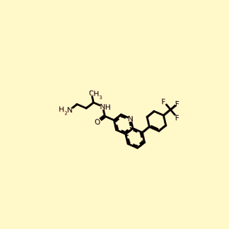 CC(CCN)NC(=O)c1cnc2c(C3=CCC(C(F)(F)F)CC3)cccc2c1